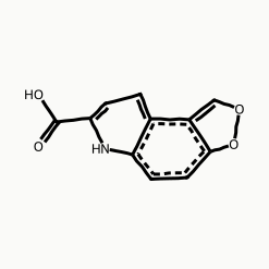 O=C(O)C1=CC=c2c(ccc3c2=COO3)N1